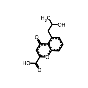 CC(O)Cc1cccc2oc(C(=O)O)cc(=O)c12